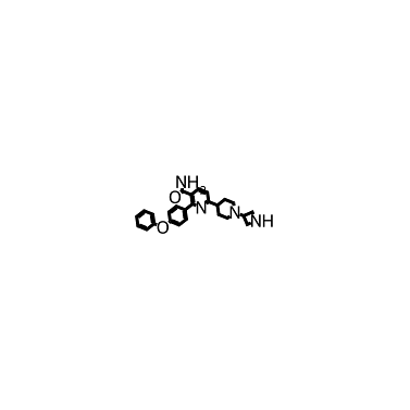 NC(=O)c1ccc(C2CCN(C3CNC3)CC2)nc1-c1ccc(Oc2ccccc2)cc1